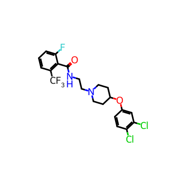 O=C(NCCN1CCC(Oc2ccc(Cl)c(Cl)c2)CC1)c1c(F)cccc1C(F)(F)F